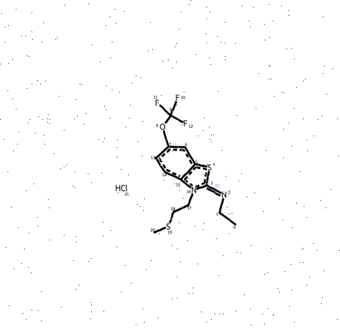 CC/N=c1/sc2cc(OC(F)(F)F)ccc2n1CCSC.Cl